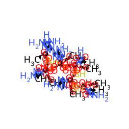 CCC[C@H]1O[C@@H](n2cnc3c2N=C(N)NC3N)CC1OP(=O)(S)OC[C@H]1O[C@@H](n2cc(C)c(N)nc2=O)[C@@H](OCCOC)C1OP(=O)(O)OC[C@H]1O[C@@H](n2cnc3c(N)ncnc32)[C@@H](OCCOC)C1OP(=O)(O)OC[C@H]1O[C@@H](n2cc(C)c(=O)[nH]c2=O)[C@@H](OCCOC)C1OP(=O)(S)OC[C@H]1O[C@@H](n2cnc3c(N)ncnc32)[C@@H](OCCOC)C1OP(=O)(S)OC[C@H]1O[C@@H](n2cc(C)c(N)nc2=O)[C@@H](OCCOC)C1O